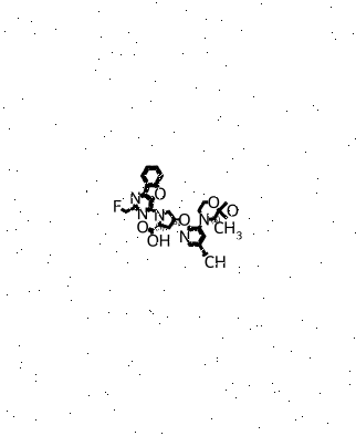 C#Cc1cnc(O[C@H]2C[C@@H](C(=O)O)N(c3nc(CF)nc4c3oc3ccccc34)C2)c(N2CCOC3(COC3)[C@@H]2C)c1